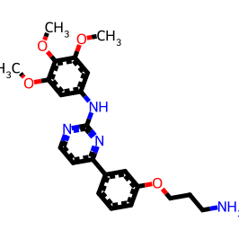 COc1cc(Nc2nccc(-c3cccc(OCCCN)c3)n2)cc(OC)c1OC